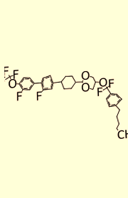 CCCCCc1ccc(C(F)(F)OC2COC(C3CCC(c4ccc(-c5ccc(OC(F)(F)F)c(F)c5)c(F)c4)CC3)OC2)cc1